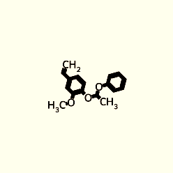 C=Cc1ccc(OC(C)Oc2ccccc2)c(OC)c1